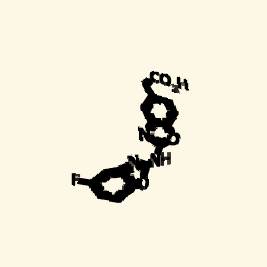 O=C(O)Cc1ccc2oc(Nc3nc4cc(F)ccc4o3)nc2c1